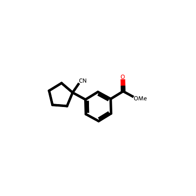 COC(=O)c1cccc(C2(C#N)CCCC2)c1